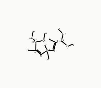 CO[SiH](OC)C(C)=C[Si](C)(C)C=C(C)[SiH](OC)OC